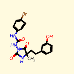 CC1(CCc2cccc(O)c2)NC(=O)N(NC(=O)Nc2ccc(Br)cc2)C1=O